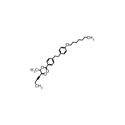 CCC#CC(=O)C(C)OC(=O)c1ccc(CCc2ccc(OCCCCCCC)cc2)cc1